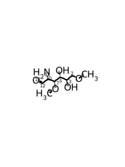 COC[C@@H](O)[C@@H](O)[C@H](OC)[C@@H](N)C=O